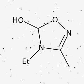 CCN1C(C)=NOC1O